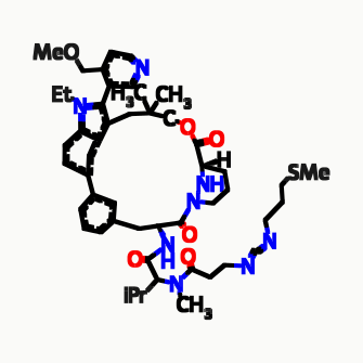 CCn1c(-c2cnccc2COC)c2c3cc(ccc31)-c1cccc(c1)C[C@H](NC(=O)C(C(C)C)N(C)C(=O)CCN=C=NCCCSC)C(=O)N1CCC[C@H](N1)C(=O)OCC(C)(C)C2